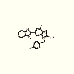 CCCc1nc2c(C)cc(-c3nc4ccccc4n3C)cc2n1Cc1ccc(C)cc1